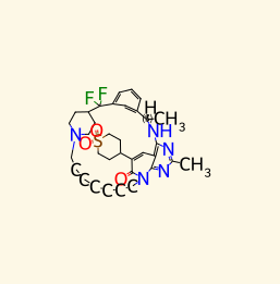 Cc1nc2c3cc(C4CCS(=O)(=O)CC4)c(=O)n(c3n1)CCCCCCCN1CCC(CC1)C(F)(F)c1cccc(c1)[C@H](C)N2